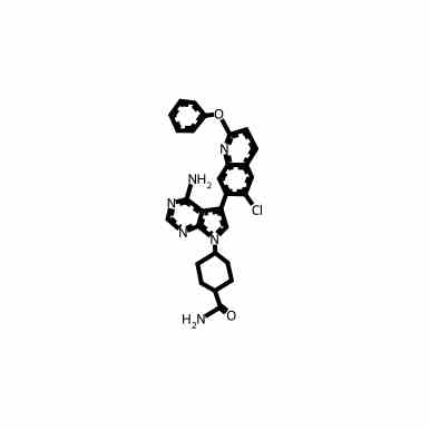 NC(=O)C1CCC(n2cc(-c3cc4nc(Oc5ccccc5)ccc4cc3Cl)c3c(N)ncnc32)CC1